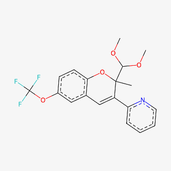 COC(OC)C1(C)Oc2ccc(OC(F)(F)F)cc2C=C1c1ccccn1